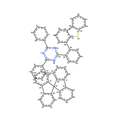 c1ccc(-c2nc(-c3ccccc3-c3cccc4c3C3(c5ccccc5-c5ccccc53)c3ccccc3-4)nc(-c3ccccc3-c3cccc4c3sc3ccccc34)n2)cc1